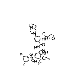 CN1CCN(c2ccc(C(=O)Nc3n[nH]c4c3CN(S(=O)(=O)c3cc(F)cc(F)c3)CC4(C)C)c(NC(=O)C3CCOC3)c2)CC1